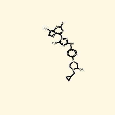 Cc1csc2c(-n3nc(Nc4ccc(N5CCN(CC6CC6)C(C)C5)nc4)nc3N)nc(Cl)nc12